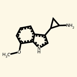 COc1cccc2c(C3CC3N)c[nH]c12